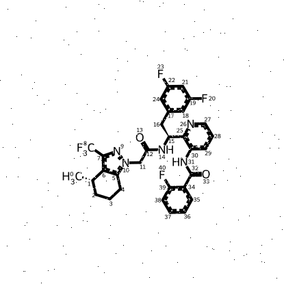 C[C@H]1CCCc2c1c(C(F)(F)F)nn2CC(=O)N[C@@H](Cc1cc(F)cc(F)c1)c1ncccc1NC(=O)c1ccccc1F